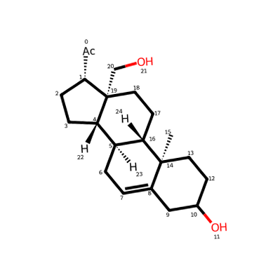 CC(=O)[C@H]1CC[C@H]2[C@@H]3CC=C4CC(O)CC[C@]4(C)[C@H]3CC[C@]12CO